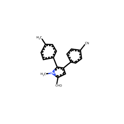 Cc1ccc(-c2c(-c3ccc(C#N)cc3)cc(C=O)n2C)cc1